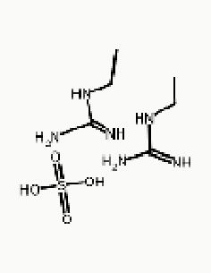 CCNC(=N)N.CCNC(=N)N.O=S(=O)(O)O